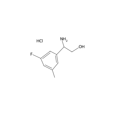 Cc1cc(F)cc(C(N)CO)c1.Cl